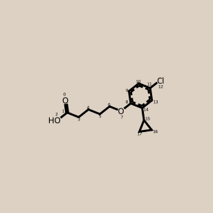 O=C(O)CCCCOc1ccc(Cl)cc1C1CC1